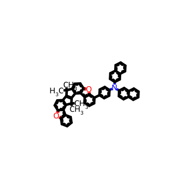 CC1(C)C2=C(c3c1ccc1oc4c(-c5ccc(N(c6ccc7ccccc7c6)c6ccc7ccccc7c6)cc5)cccc4c31)C(C)(C)c1c2ccc2oc3ccccc3c12